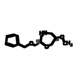 CO[C@@H]1CNC[C@@H](COCc2ccccc2)OC1